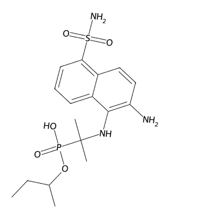 CCC(C)OP(=O)(O)C(C)(C)Nc1c(N)ccc2c(S(N)(=O)=O)cccc12